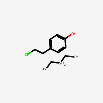 CC(C)C[SiH2]CC(C)C.Oc1ccc(CCCl)cc1